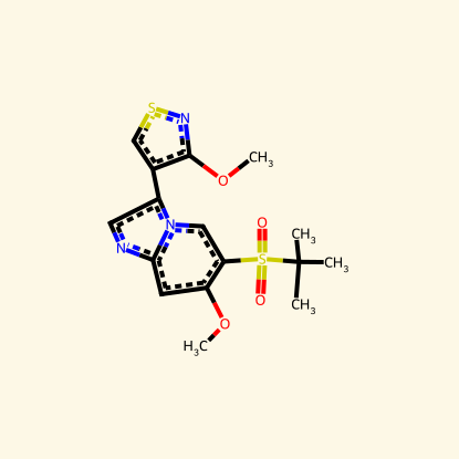 COc1cc2ncc(-c3csnc3OC)n2cc1S(=O)(=O)C(C)(C)C